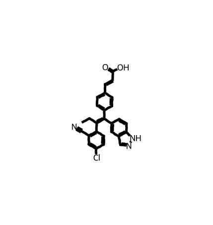 CCC(=C(c1ccc(C=CC(=O)O)cc1)c1ccc2[nH]ncc2c1)c1ccc(Cl)cc1C#N